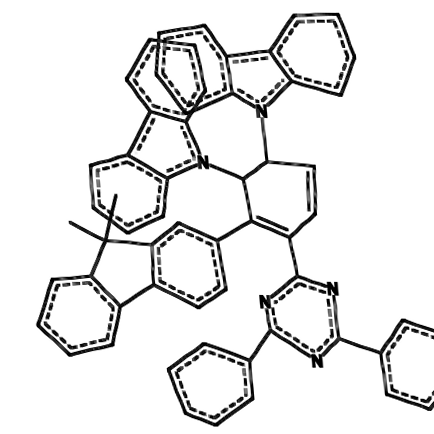 CC1(C)c2ccccc2-c2ccc(C3=C(c4nc(-c5ccccc5)nc(-c5ccccc5)n4)C=CC(n4c5ccccc5c5ccccc54)C3n3c4ccccc4c4ccccc43)cc21